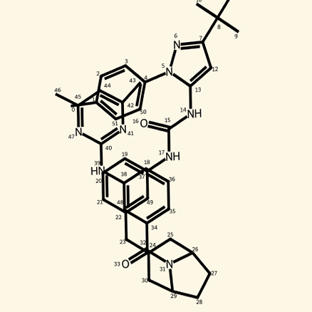 Cc1ccc(-n2nc(C(C)(C)C)cc2NC(=O)Nc2cccc(CC3CC4CCC(C3)N4C(=O)c3cccc(Nc4nc(C)cc(C)n4)c3)c2)cc1